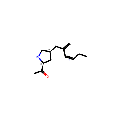 C=C(/C=C\CC)C[C@@H]1CN[C@H](C(C)=O)C1